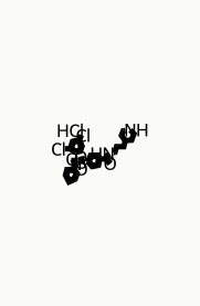 Cl.O=C(NCCCC1CCNCC1)c1ccc(S(=O)(=O)N(Oc2ccc(Cl)cc2Cl)c2ccccc2)cc1